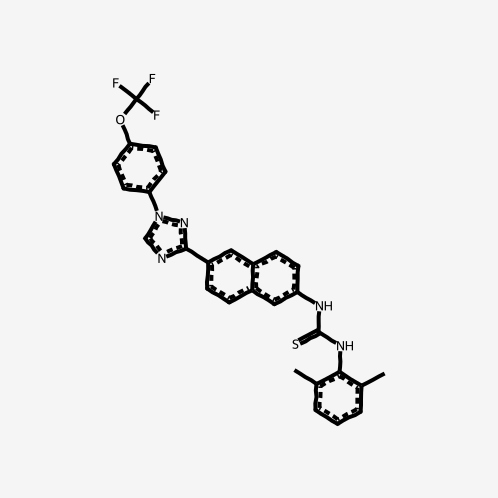 Cc1cccc(C)c1NC(=S)Nc1ccc2cc(-c3ncn(-c4ccc(OC(F)(F)F)cc4)n3)ccc2c1